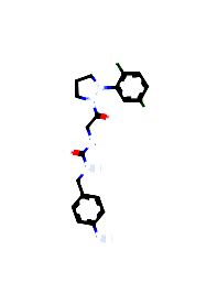 Nc1ccc(CNC(=O)NCC(=O)N2CCCN2c2cc(Cl)ccc2Cl)cc1